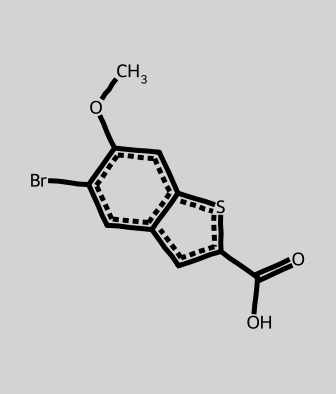 COc1cc2sc(C(=O)O)cc2cc1Br